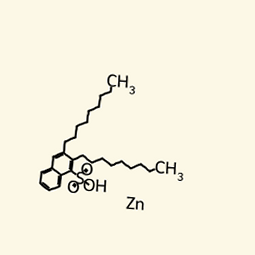 CCCCCCCCCc1cc2ccccc2c(S(=O)(=O)O)c1CCCCCCCCC.[Zn]